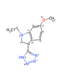 CCN1CC(c2nnn[nH]2)c2ccc(OC)cc21